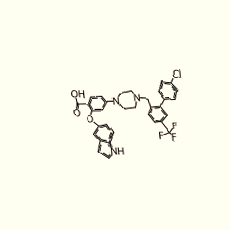 O=C(O)c1ccc(N2CCN(Cc3ccc(C(F)(F)F)cc3-c3ccc(Cl)cc3)CC2)cc1Oc1ccc2[nH]ccc2c1